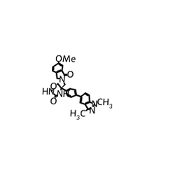 COc1ccc2c(c1)C(=O)N(C[C@]1(c3ccc(-c4ccc5c(c4)c(C)nn5C)cc3)CONC(=O)N1)C2